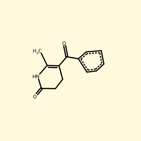 CC1=C(C(=O)c2ccccc2)CCC(=O)N1